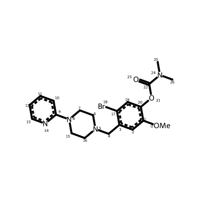 COc1cc(CN2CCN(c3ccccn3)CC2)c(Br)cc1OC(=O)N(C)C